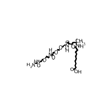 C[C@@H](CCC(=O)NCCOCCOCC(=O)NCCOCCNC(=O)CN)NC(=O)CCCCCCCCCC(=O)O